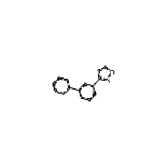 c1ccc(-c2cccc(-c3ccon3)c2)cc1